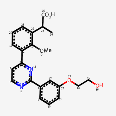 COc1c(-c2ccnc(-c3cccc(OCCO)c3)n2)cccc1C(C)C(=O)O